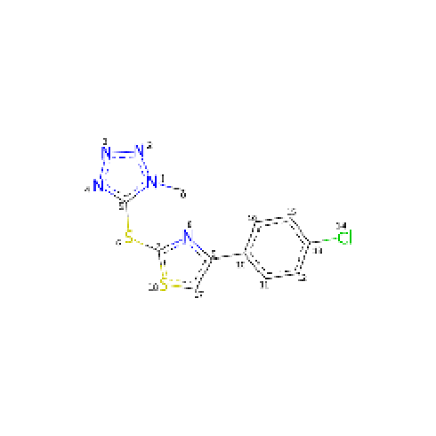 Cn1nnnc1Sc1nc(-c2ccc(Cl)cc2)cs1